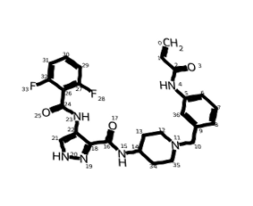 C=CC(=O)Nc1cccc(CN2CCC(NC(=O)c3n[nH]cc3NC(=O)c3c(F)cccc3F)CC2)c1